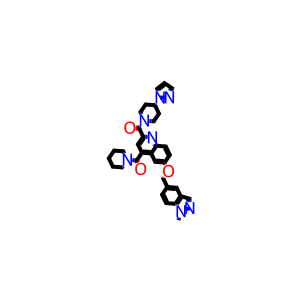 Cn1ncc2cc(COc3ccc4nc(C(=O)N5CCC(n6cccn6)CC5)cc(C(=O)N5CCCCC5)c4c3)ccc21